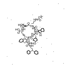 C[C@@H](O)[C@@H]1NC(=O)[C@H](CCCCNC(=O)OC(C)(C)C)NC(=O)[C@@H](Cc2c[nH]c3ccccc23)NC(=O)[C@H](Cc2ccc(O)cc2)NC(=O)[C@@H](NC(=O)[C@@H](Cc2ccccc2)NC(=O)NCCC(c2ccccc2)c2ccccc2)CSSC[C@@H](C(=O)O)NC1=O